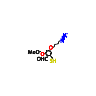 COCOc1cc(OCCCCN=[N+]=[N-])cc(CS)c1C=O